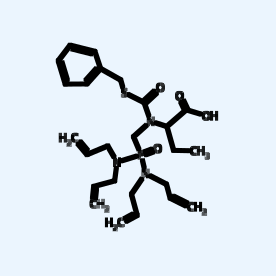 C=CCN(CC=C)P(=O)(CN(C(=O)SCc1ccccc1)C(CC)C(=O)O)N(CC=C)CC=C